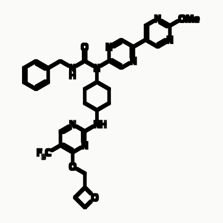 COc1ncc(-c2cnc(N(C(=O)NCc3ccccc3)C3CCC(Nc4ncc(C(F)(F)F)c(OCC5CCO5)n4)CC3)cn2)cn1